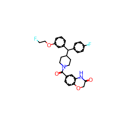 O=C1COc2ccc(C(=O)N3CCC(C(c4ccc(F)cc4)c4cccc(OCCF)c4)CC3)cc2N1